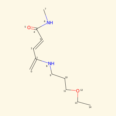 C=C(/C=C/C(=O)NC)NCCCOCC